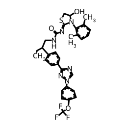 CCC(CNC(=O)/N=C1\SCC(O)N1c1c(C)cccc1C)c1ccc(-c2ncn(-c3ccc(OC(F)(F)F)cc3)n2)cc1